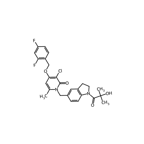 Cc1cc(OCc2ccc(F)cc2F)c(Cl)c(=O)n1Cc1ccc2c(c1)CCN2C(=O)C(C)(C)O